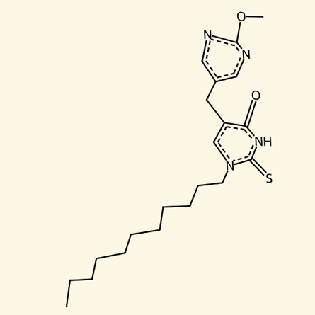 CCCCCCCCCCCn1cc(Cc2cnc(OC)nc2)c(=O)[nH]c1=S